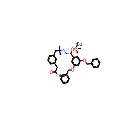 COC(=O)Cc1cccc(CC(C)(C)NC[C@H](O[Si](C)(C)C(C)(C)C)c2cc(OCc3ccccc3)cc(OCc3ccccc3)c2)c1